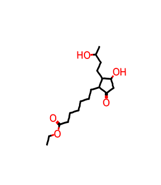 CCOC(=O)CCCCCCC1C(=O)CC(O)C1CCC(C)O